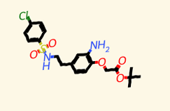 CC(C)(C)OC(=O)COc1ccc(CCNS(=O)(=O)c2ccc(Cl)cc2)cc1N